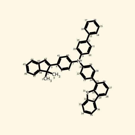 CC1(C)C(c2ccc(N(c3ccc(-c4ccccc4)cc3)c3ccc(-c4cccc5c4sc4ccccc45)cc3)cc2)=Cc2ccccc21